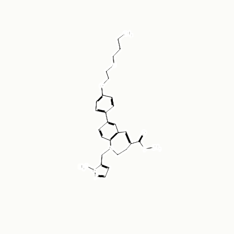 CCCCOCCOc1ccc(-c2ccc3c(c2)C=C(C(=O)OC)CCN3Cc2ccnn2C)cc1